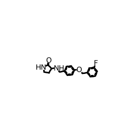 O=C1NCCC1NCc1ccc(OCc2cccc(F)c2)cc1